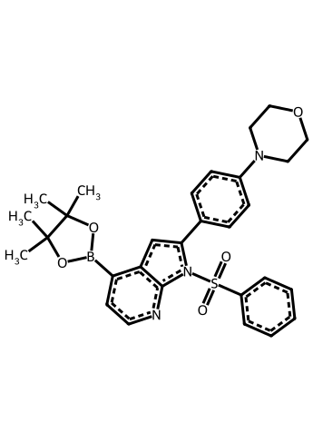 CC1(C)OB(c2ccnc3c2cc(-c2ccc(N4CCOCC4)cc2)n3S(=O)(=O)c2ccccc2)OC1(C)C